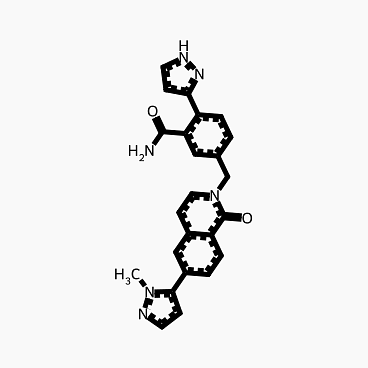 Cn1nccc1-c1ccc2c(=O)n(Cc3ccc(-c4cc[nH]n4)c(C(N)=O)c3)ccc2c1